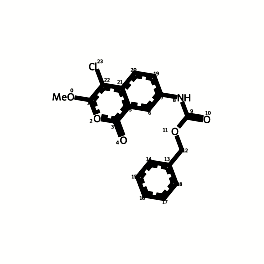 COc1oc(=O)c2cc(NC(=O)OCc3ccccc3)ccc2c1Cl